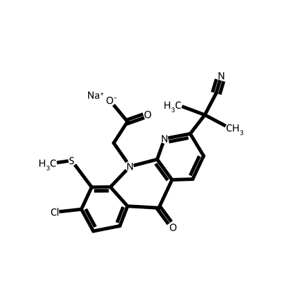 CSc1c(Cl)ccc2c(=O)c3ccc(C(C)(C)C#N)nc3n(CC(=O)[O-])c12.[Na+]